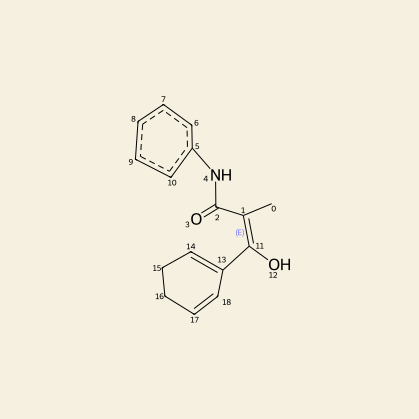 C/C(C(=O)Nc1ccccc1)=C(\O)C1=CCCC=C1